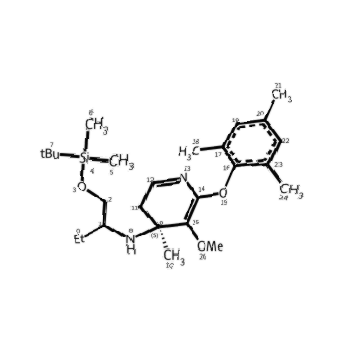 CCC(CO[Si](C)(C)C(C)(C)C)N[C@@]1(C)CC=NC(Oc2c(C)cc(C)cc2C)=C1OC